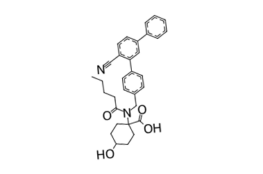 CCCCC(=O)N(Cc1ccc(-c2cc(-c3ccccc3)ccc2C#N)cc1)C1(C(=O)O)CCC(O)CC1